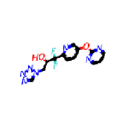 OC(Cn1cnnn1)C(F)(F)c1ccc(Oc2ncccn2)cn1